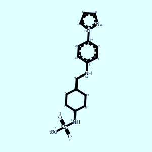 CC(C)(C)S(=O)(=O)NC1CCC(CNc2ccc(-n3cccn3)cc2)CC1